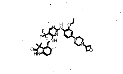 CCOc1cc(N2CCN(C3COC3)CC2)ccc1Nc1ncc(C(F)(F)F)c(NCC2=C3C(=CC[C@H]2C)NC(=O)C3(C)C)n1